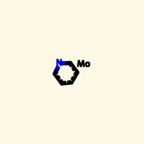 [Mo].c1ccncc1